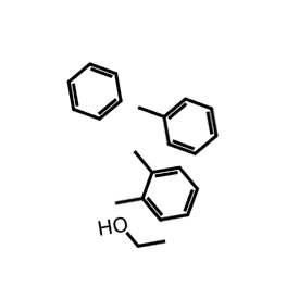 CCO.Cc1ccccc1.Cc1ccccc1C.c1ccccc1